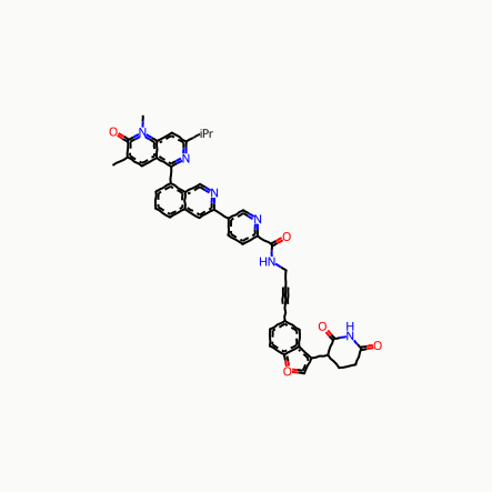 Cc1cc2c(-c3cccc4cc(-c5ccc(C(=O)NCC#Cc6ccc7occ(C8CCC(=O)NC8=O)c7c6)nc5)ncc34)nc(C(C)C)cc2n(C)c1=O